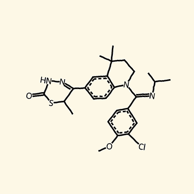 COc1ccc(/C(=N/C(C)C)N2CCC(C)(C)c3cc(C4=NNC(=O)SC4C)ccc32)cc1Cl